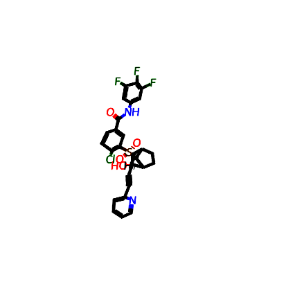 O=C(Nc1cc(F)c(F)c(F)c1)c1ccc(Cl)c(S(=O)(=O)[C@@H]2C3CCC2[C@@](O)(C#Cc2ccccn2)C3)c1